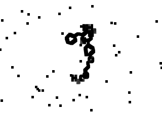 COCCCOc1ccc(-c2cnc(N)c(Cc3ccccc3)n2)cc1